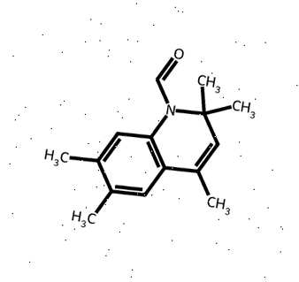 CC1=CC(C)(C)N(C=O)c2cc(C)c(C)cc21